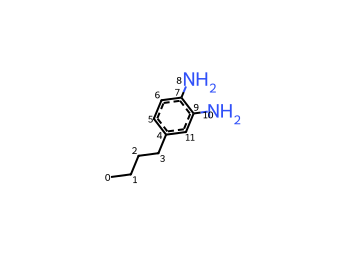 CCCCc1ccc(N)c(N)c1